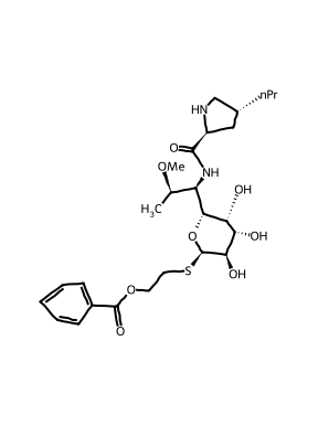 CCC[C@H]1CN[C@H](C(=O)N[C@@H]([C@H]2O[C@H](SCCOC(=O)c3ccccc3)[C@H](O)[C@@H](O)[C@H]2O)[C@@H](C)OC)C1